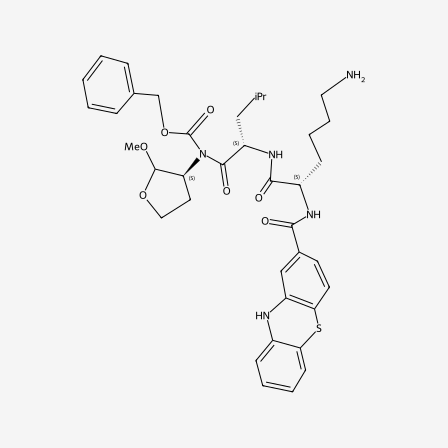 COC1OCC[C@@H]1N(C(=O)OCc1ccccc1)C(=O)[C@H](CC(C)C)NC(=O)[C@H](CCCCN)NC(=O)c1ccc2c(c1)Nc1ccccc1S2